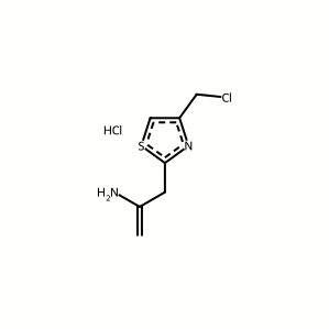 C=C(N)Cc1nc(CCl)cs1.Cl